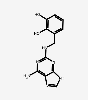 Nc1nc(NCc2cccc(O)c2O)nc2[nH]cnc12